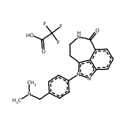 CN(C)Cc1ccc(-n2nc3cccc4c3c2CCNC4=O)cc1.O=C(O)C(F)(F)F